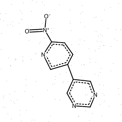 O=[N+]([O-])c1ccc(-c2cncnc2)cn1